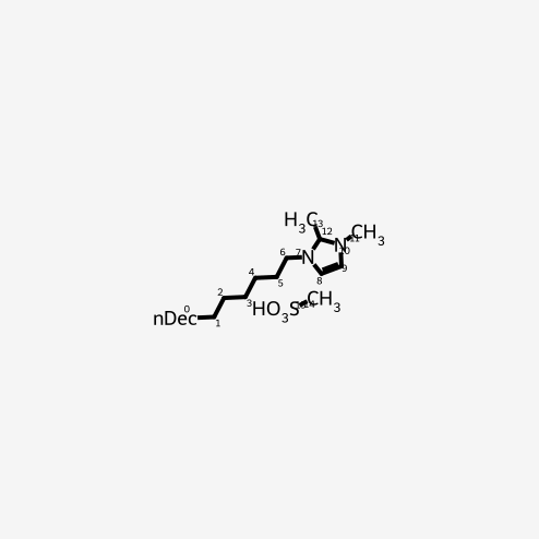 CCCCCCCCCCCCCCCCN1C=CN(C)C1C.CS(=O)(=O)O